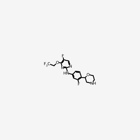 Fc1cc(Nc2ncc(F)c(OCC(F)(F)F)n2)ccc1C1CNCCO1